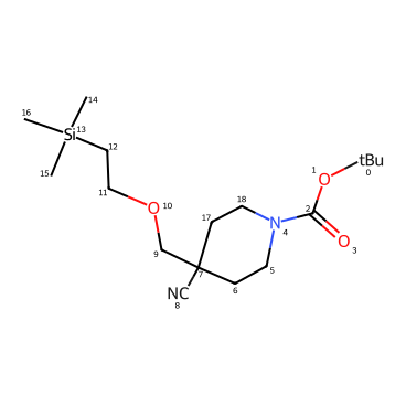 CC(C)(C)OC(=O)N1CCC(C#N)(COCC[Si](C)(C)C)CC1